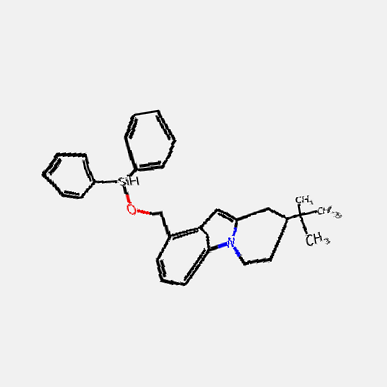 CC(C)(C)C1CCn2c(cc3c(CO[SiH](c4ccccc4)c4ccccc4)cccc32)C1